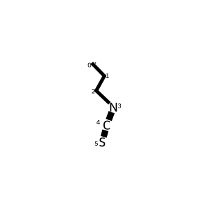 [CH2]CCN=C=S